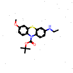 CCNc1ccc2c(c1)Sc1cc(OC)ccc1N2C(=O)OC(C)(C)C